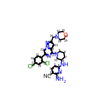 N#Cc1ccc(NC2CCCN(c3nc(-c4ccc(Cl)cc4Cl)cn4nc(CN5CCOCC5)cc34)C2)nc1N